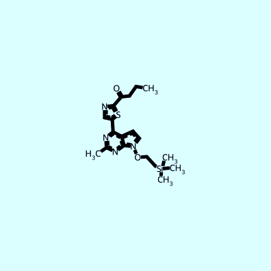 CCCC(=O)c1ncc(-c2nc(C)nc3c2ccn3OCC[Si](C)(C)C)s1